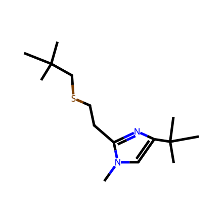 Cn1cc(C(C)(C)C)nc1CCSCC(C)(C)C